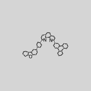 c1ccc2c(c1)oc1ccc(-c3ccc(-c4ccc5ccc6ccc(-c7ccc8c9ccccc9c9ccccc9c8c7)nc6c5n4)cc3)cc12